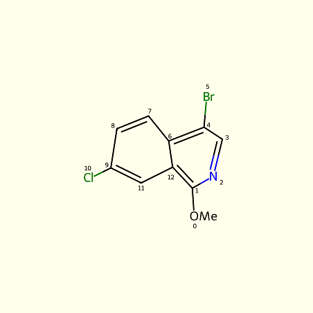 COc1ncc(Br)c2ccc(Cl)cc12